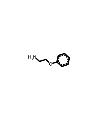 NCCOc1[c]cccc1